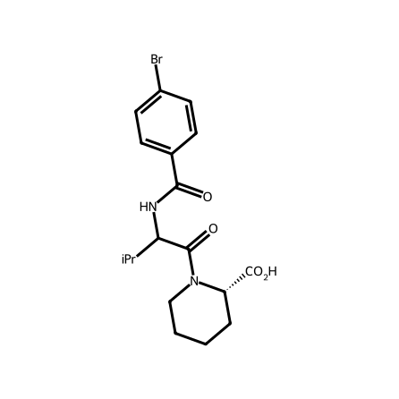 CC(C)C(NC(=O)c1ccc(Br)cc1)C(=O)N1CCCC[C@H]1C(=O)O